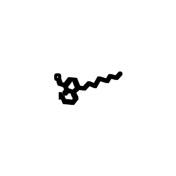 CCCCCCCCc1ccc(C=O)c2ncccc12